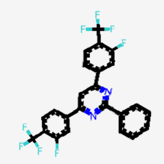 Fc1cc(-c2cc(-c3ccc(C(F)(F)F)c(F)c3)nc(-c3ccccc3)n2)ccc1C(F)(F)F